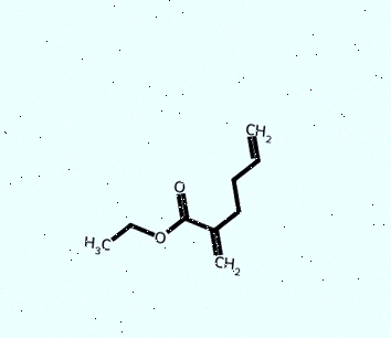 C=CCCC(=C)C(=O)OCC